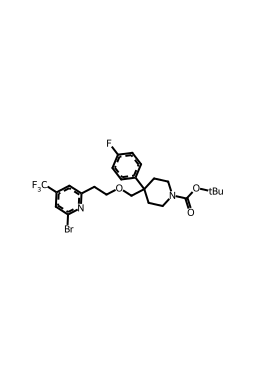 CC(C)(C)OC(=O)N1CCC(COCCc2cc(C(F)(F)F)cc(Br)n2)(c2ccc(F)cc2)CC1